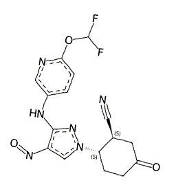 N#C[C@H]1CC(=O)CC[C@@H]1n1cc(N=O)c(Nc2ccc(OC(F)F)nc2)n1